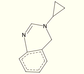 C1=Nc2ccccc2CN1C1CC1